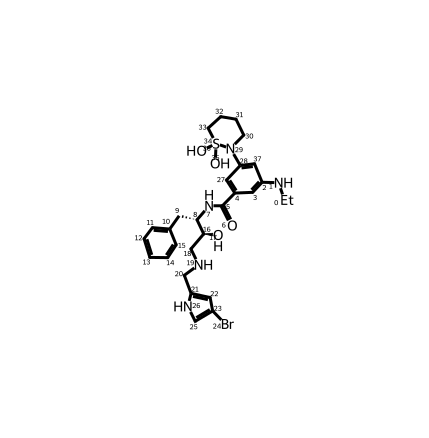 CCNc1cc(C(=O)N[C@@H](Cc2ccccc2)[C@@H](O)CNCc2cc(Br)c[nH]2)cc(N2CCCCS2(O)O)c1